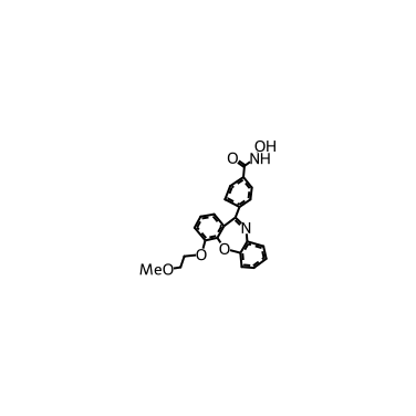 COCCOc1cccc2c1Oc1ccccc1N=C2c1ccc(C(=O)NO)cc1